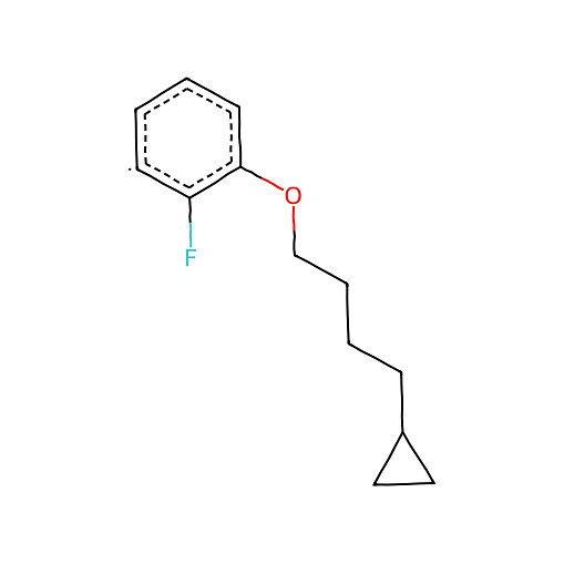 Fc1[c]cccc1OCCCCC1CC1